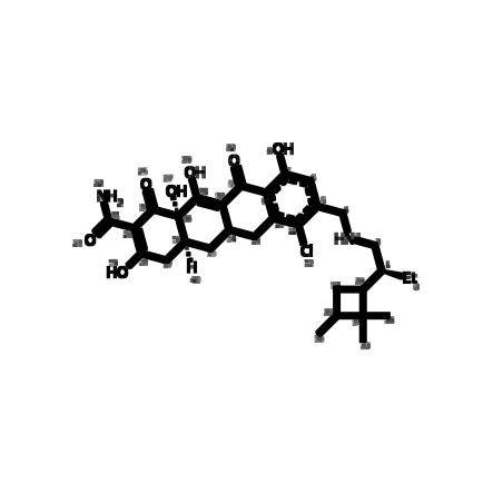 CC[C@H](CNCc1cc(O)c2c(c1Cl)CC1C[C@H]3CC(O)=C(C(N)=O)C(=O)[C@@]3(O)C(O)=C1C2=O)C1CC(C)C1(C)C